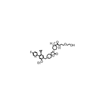 CCOc1cc(-c2ccc(F)cn2)c(C2CC2)cc1CN1CCC2(CC1)CN([C@H]1CC[C@@](C)(C(=O)NCCOCCO)CC1)C(=O)O2